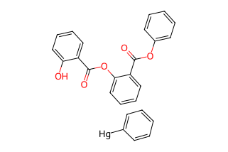 O=C(Oc1ccccc1C(=O)Oc1ccccc1)c1ccccc1O.[Hg][c]1ccccc1